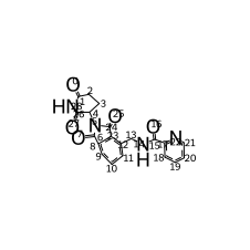 O=C1CCC(N2C(=O)c3cccc(CNC(=O)c4ccccn4)c3C2=O)C(=O)N1